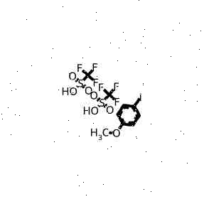 COc1ccc(I)cc1.O=S(=O)(O)C(F)(F)F.O=S(=O)(O)C(F)(F)F